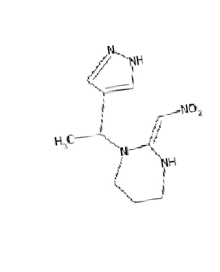 CC(c1cn[nH]c1)N1CCCNC1=C[N+](=O)[O-]